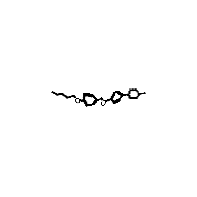 CCCCCOc1ccc(COc2ccc(C3CCC(C)CC3)cc2)cc1